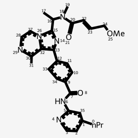 CCCc1ccnc(NC(=O)c2ccc(-c3nc(C(C)N(C)C(=O)C=CCOC)n4ccnc(C)c34)cc2)c1